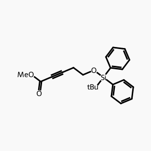 COC(=O)C#CCCO[Si](c1ccccc1)(c1ccccc1)C(C)(C)C